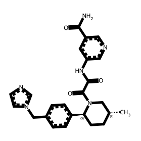 C[C@@H]1CC[C@@H](c2ccc(Cn3ccnc3)cc2)N(C(=O)C(=O)Nc2cncc(C(N)=O)c2)C1